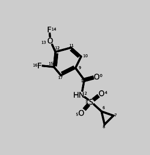 O=C(NS(=O)(=O)C1CC1)c1ccc(OF)c(F)c1